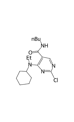 CCCCNC(=O)c1cnc(Cl)nc1N(CC)C1CCCCC1